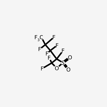 O=S1(=O)OC(F)(F)C1(F)C(F)(F)C(F)(F)C(F)(F)F